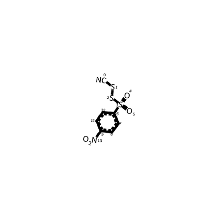 N#CSSS(=O)(=O)c1ccc([N+](=O)[O-])cc1